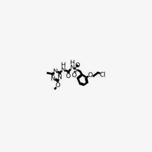 COc1nc(C)nc(NC(=O)NS(=O)(=O)Cc2ccccc2OCCCl)n1